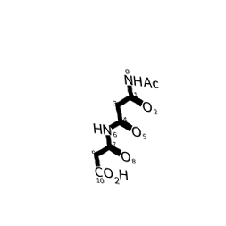 CC(=O)NC(=O)CC(=O)NC(=O)CC(=O)O